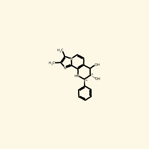 Cc1nc2c3c(ccn2c1C)C(O)[C@H](O)[C@@H](c1ccccc1)N3